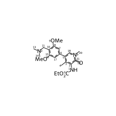 CCOC(=O)Nc1c(C)c(-c2cc(OC)c(CN(C)C)c(OC)c2)cn(C)c1=O